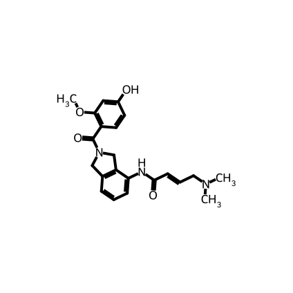 COc1cc(O)ccc1C(=O)N1Cc2cccc(NC(=O)/C=C/CN(C)C)c2C1